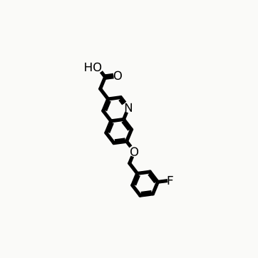 O=C(O)Cc1cnc2cc(OCc3cccc(F)c3)ccc2c1